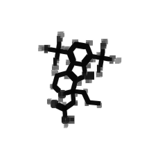 CCCC1(CC(=O)O)OCCc2c1[nH]c1c(C(F)(F)F)ccc(C(F)(F)F)c21